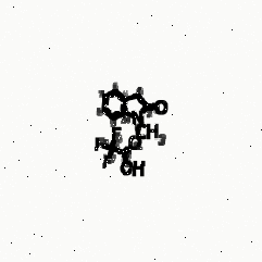 CN1C(=O)Cc2ccccc21.O=C(O)C(F)(F)F